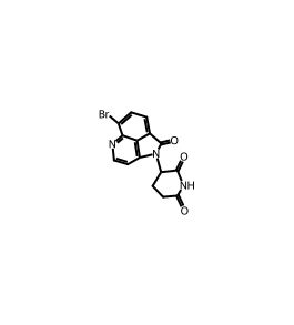 O=C1CCC(N2C(=O)c3ccc(Br)c4nccc2c34)C(=O)N1